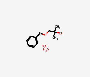 CC(C)(O)CO[B]c1ccccc1.O.O